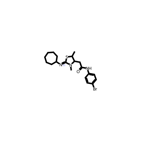 CC1S/C(=N\C2CCCCCC2)N(C)C1CC(=O)Nc1ccc(Br)cc1